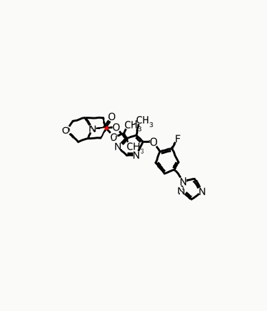 Cc1c(Oc2ccc(-n3cncn3)cc2F)ncnc1OC1CC2COCC(C1)N2C(=O)OC(C)C